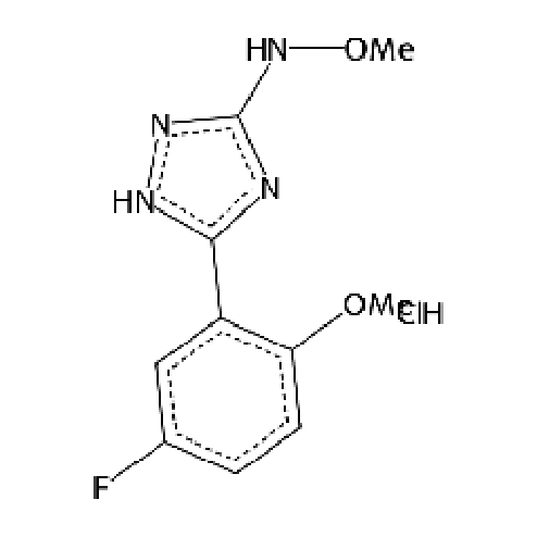 CONc1n[nH]c(-c2cc(F)ccc2OC)n1.Cl